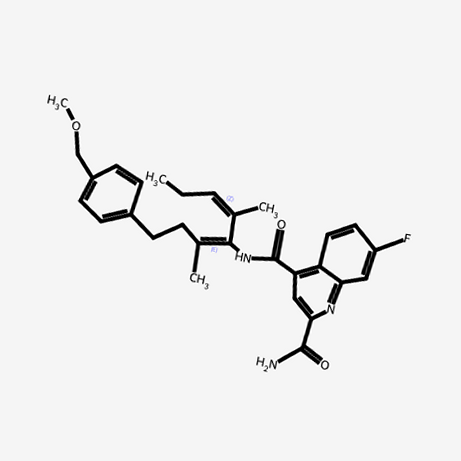 CC/C=C(C)\C(NC(=O)c1cc(C(N)=O)nc2cc(F)ccc12)=C(\C)CCc1ccc(COC)cc1